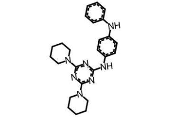 c1ccc(Nc2ccc(Nc3nc(N4CCCCC4)nc(N4CCCCC4)n3)cc2)cc1